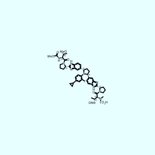 COC(=O)N[C@H](C(=O)N1CCC[C@H]1c1nc2cc([C@@H]3CC[C@@H](c4ccc5[nH]c([C@@H]6CCCN6C(=O)[C@H]([C@@H](C)OC)N(C)C(=O)O)nc5c4)N3c3ccc(C4CC4)cc3F)ccc2[nH]1)[C@@H](C)OC